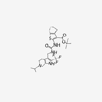 CC(C)N1CCc2c([nH]c(C(F)(F)F)c2CNC(=O)Nc2sc3c(c2C(=O)OC(C)(C)C)CCCC3)C1